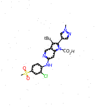 Cn1cc(-c2c(C(C)(C)C)c3cnc(Nc4ccc(S(C)(=O)=O)cc4Cl)cc3n2C(=O)O)cn1